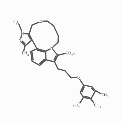 Cc1cc(OCCCc2c(C(=O)O)n3c4c(cccc24)-c2c(C)nn(C)c2COCCCC3)cc(C)c1C